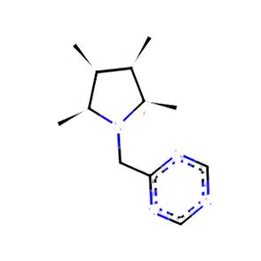 C[C@@H]1[C@H](C)[C@H](C)N(Cc2ncncn2)[C@@H]1C